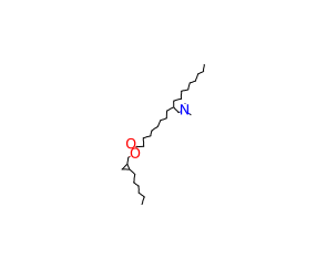 CCCCCCCCCC(CCCCCCCCC(=O)OCC1CC1CCCCCC)CN(C)C